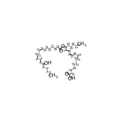 CCCCC[C@H](O)/C=C/C=C\C/C=C\CCCCCCC(=O)O[C@H](/C=C/C=C\C/C=C\CCCCCCC(=O)O)CCCCC